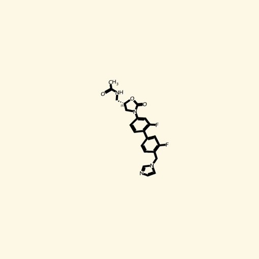 CC(=O)NC[C@H]1CN(c2ccc(-c3ccc(Cn4ccnc4)c(F)c3)c(F)c2)C(=O)O1